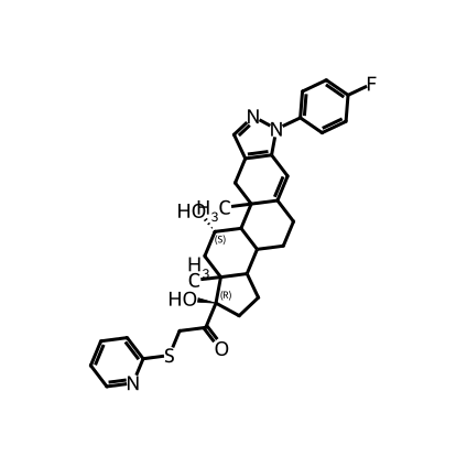 CC12Cc3cnn(-c4ccc(F)cc4)c3C=C1CCC1C2[C@@H](O)CC2(C)C1CC[C@]2(O)C(=O)CSc1ccccn1